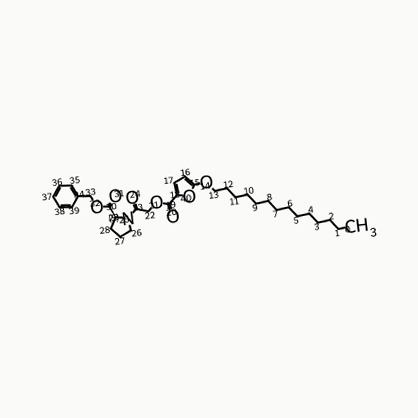 CCCCCCCCCCCCCCOc1ccc(C(=O)OCC(=O)N2CCC[C@H]2C(=O)OCc2ccccc2)o1